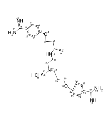 CC(=O)C(CCOc1ccc(C(=N)N)cc1)NCCN(CCCOc1ccc(C(=N)N)cc1)C(C)=O.Cl